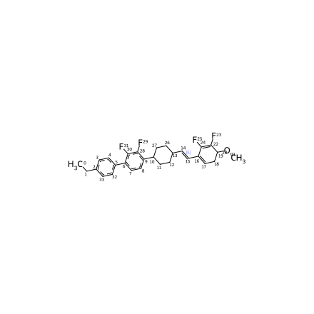 CCc1ccc(-c2ccc(C3CCC(/C=C/C4=CCC(OC)C(F)=C4F)CC3)c(F)c2F)cc1